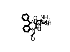 CNC1(C(=O)C(N)CS)N=C(c2ccccc2)c2ccccc2N(C[C]=O)C1=O